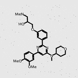 CNCC(O)COc1cccc(-c2nc(-c3ccc(OC)c(OC)c3)cc(N(C)C3CCOCC3)n2)c1